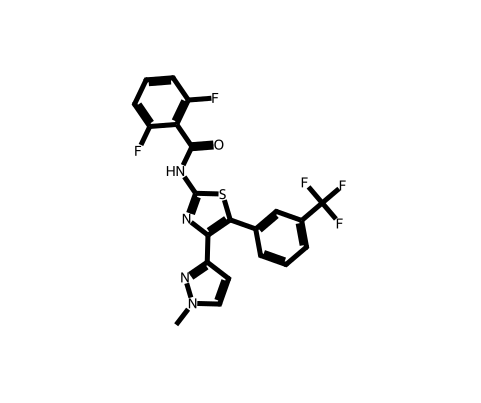 Cn1ccc(-c2nc(NC(=O)c3c(F)cccc3F)sc2-c2cccc(C(F)(F)F)c2)n1